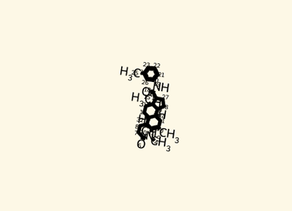 CC1=C2N(C)C(=O)CC[C@]2(C)[C@@H]2CC[C@]3(C)C(C(=O)Nc4cccc(C)c4)CC[C@H]3[C@@H]2C1